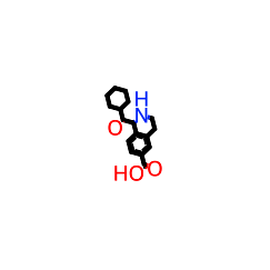 O=C(O)c1ccc2c(c1)CCNC2C(=O)C1CCCCC1